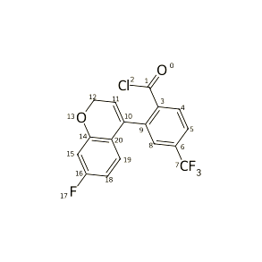 O=C(Cl)c1ccc(C(F)(F)F)cc1C1=CCOc2cc(F)ccc21